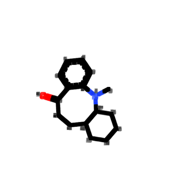 CN1c2ccccc2C(=O)CCC2CCCCC21